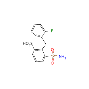 NS(=O)(=O)c1cccc(S(=O)(=O)O)c1Cc1ccccc1F